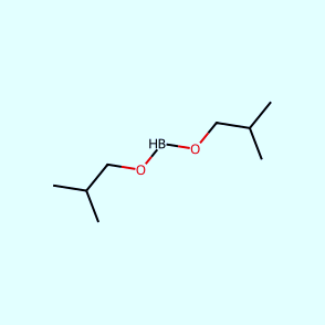 CC(C)COBOCC(C)C